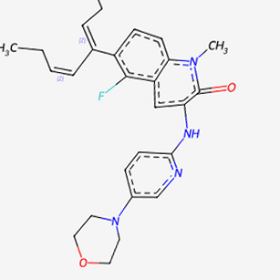 CC/C=C\C(=C\CC)c1ccc2c(cc(Nc3ccc(N4CCOCC4)cn3)c(=O)n2C)c1F